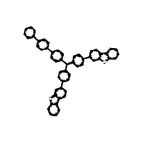 c1ccc(-c2ccc(-c3ccc(C(c4ccc(-c5ccc6c(c5)oc5ccccc56)cc4)c4ccc(-c5ccc6c(c5)oc5ccccc56)cc4)cc3)cc2)cc1